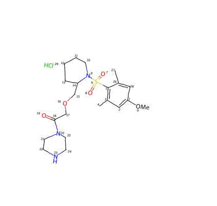 COc1cc(C)c(S(=O)(=O)N2CCCCC2COCC(=O)N2CCNCC2)c(C)c1.Cl